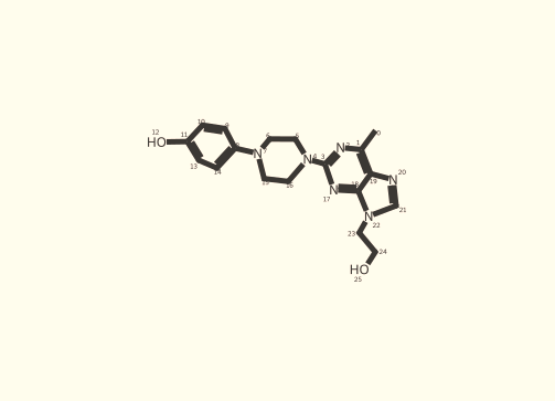 Cc1nc(N2CCN(c3ccc(O)cc3)CC2)nc2c1ncn2CCO